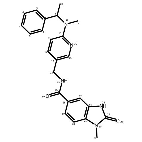 CC(c1ccccc1)N(C)c1ccc(CNC(=O)c2ccc3c(c2)[nH]c(=O)n3C)cn1